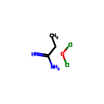 CCC(=N)N.ClOCl